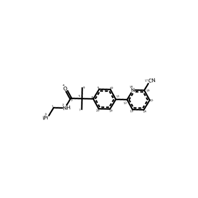 CC(C)CNC(=O)C(C)(C)c1ccc(-c2cccc(C#N)n2)cc1